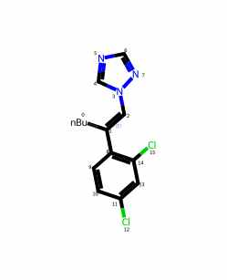 CCCC/C(=C\n1cncn1)c1ccc(Cl)cc1Cl